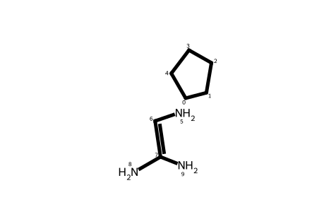 C1CCCC1.NC=C(N)N